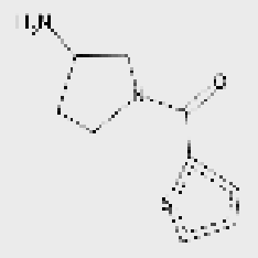 NC1CCN(C(=O)c2cccs2)C1